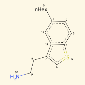 CCCCCCc1ccc2scc(CCN)c2c1